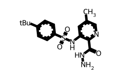 Cc1cnc(C(=O)NN)c(NS(=O)(=O)c2ccc(C(C)(C)C)cc2)c1